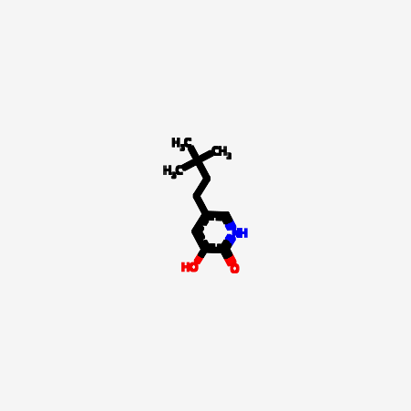 CC(C)(C)CCc1c[nH]c(=O)c(O)c1